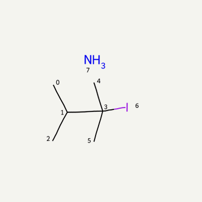 CC(C)C(C)(C)I.N